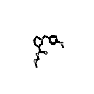 COCOC(=O)C1CCCN(Cc2ccc(OC)cc2)C1